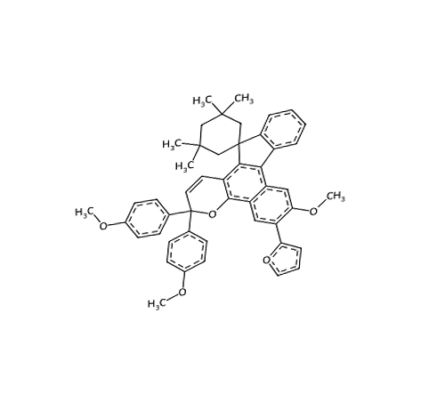 COc1ccc(C2(c3ccc(OC)cc3)C=Cc3c4c(c5cc(OC)c(-c6ccco6)cc5c3O2)-c2ccccc2C42CC(C)(C)CC(C)(C)C2)cc1